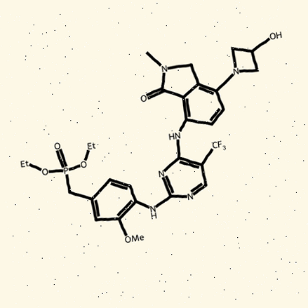 CCOP(=O)(Cc1ccc(Nc2ncc(C(F)(F)F)c(Nc3ccc(N4CC(O)C4)c4c3C(=O)N(C)C4)n2)c(OC)c1)OCC